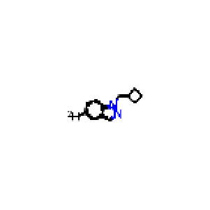 [2H]c1ccc2c(cnn2CC2CCC2)c1